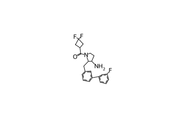 NC1CCN(C(=O)C2CC(F)(F)C2)C1Cc1cccc(-c2cccc(F)c2)c1